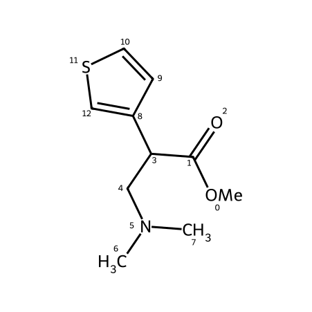 COC(=O)C(CN(C)C)c1ccsc1